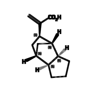 C=C(C(=O)O)[C@@H]1C[C@@H]2C[C@H]1[C@H]1CCC[C@@H]21